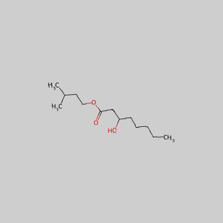 CCCCCC(O)CC(=O)OCCC(C)C